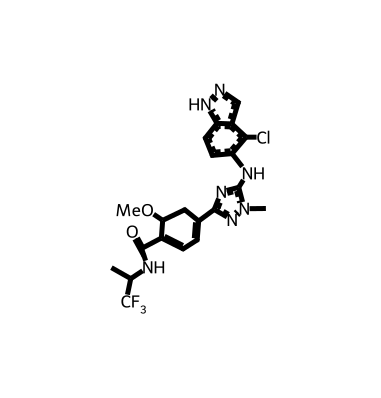 COC1CC(c2nc(Nc3ccc4[nH]ncc4c3Cl)n(C)n2)=CC=C1C(=O)NC(C)C(F)(F)F